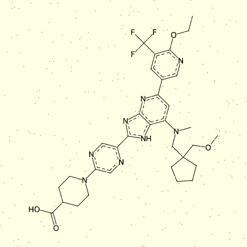 CCOc1ncc(-c2cc(N(C)CC3(COC)CCCC3)c3[nH]c(-c4cnc(N5CCC(C(=O)O)CC5)cn4)nc3n2)cc1C(F)(F)F